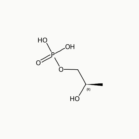 C[C@@H](O)COP(=O)(O)O